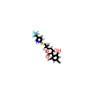 Cc1cc(C)c(C2=C(O)CC(C(C)(C)CSc3ccc(C(F)(F)F)cn3)OC2=O)c(C)c1